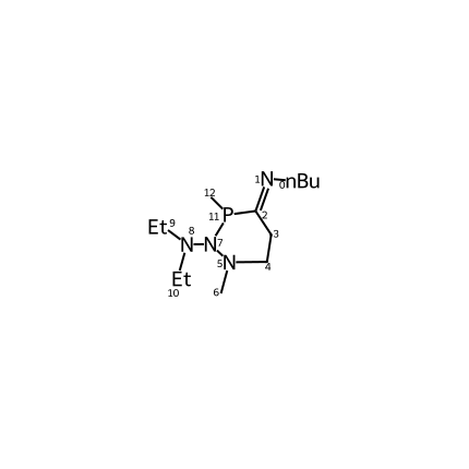 CCCCN=C1CCN(C)N(N(CC)CC)P1C